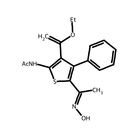 C=C(OCC)c1c(NC(C)=O)sc(/C(C)=N/O)c1-c1ccccc1